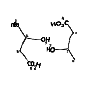 CC(O)CC(=O)O.CCCCC(O)CC(=O)O